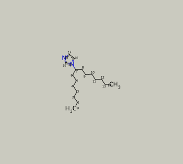 CCCCCCCC(CCCCCCC)n1ccnc1